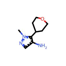 Cn1ncc(N)c1C1CCOCC1